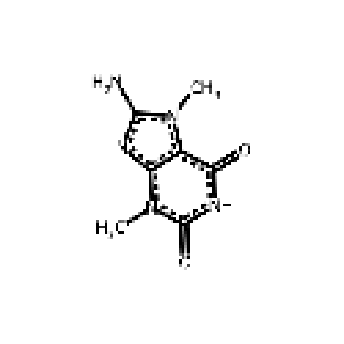 Cn1c(N)nc2c1c(=O)[nH]c(=O)n2C